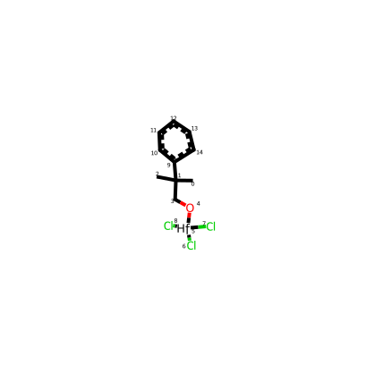 CC(C)(C[O][Hf]([Cl])([Cl])[Cl])c1ccccc1